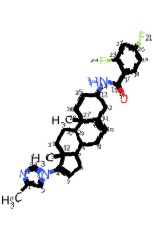 Cc1cn(C2=CCC3C4CC=C5CC(NC(=O)c6ccc(F)cc6F)CCC5(C)C4CCC23C)cn1